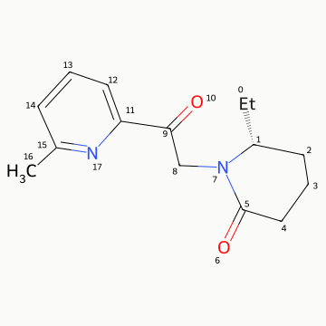 CC[C@@H]1CCCC(=O)N1CC(=O)c1cccc(C)n1